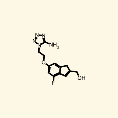 Nc1nnnn1CCOc1cc(F)c2c(c1)CC(CO)=C2